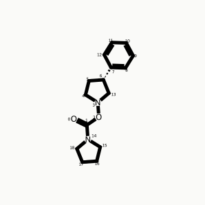 O=C(ON1CC[C@H](c2ccccc2)C1)N1CCCC1